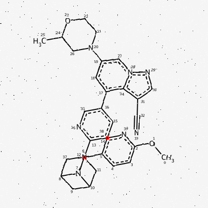 COc1ccc(CN2C3CC2CN(c2ccc(-c4cc(N5CCOC(C)C5)cn5ncc(C#N)c45)cn2)C3)cn1